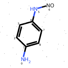 Nc1ccc(NN=O)cc1